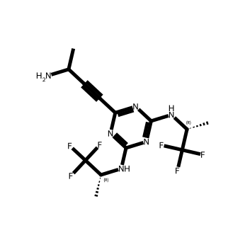 CC(N)C#Cc1nc(N[C@H](C)C(F)(F)F)nc(N[C@H](C)C(F)(F)F)n1